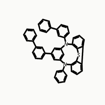 c1ccc(-c2cccc(-c3cc4cc(c3)N(c3cccc(-c5ccccc5)c3)c3cccc5c3sc3c(cccc35)N4c3ccccc3)c2)cc1